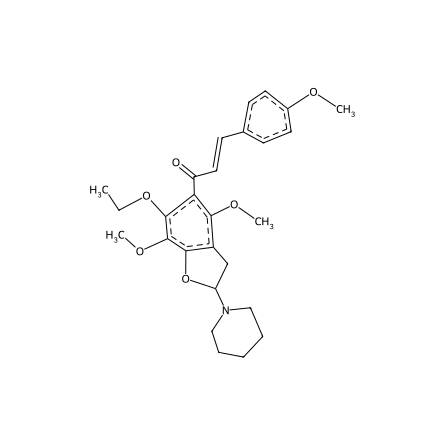 CCOc1c(OC)c2c(c(OC)c1C(=O)C=Cc1ccc(OC)cc1)CC(N1CCCCC1)O2